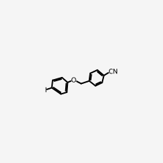 N#Cc1ccc(COc2ccc(I)cc2)cc1